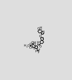 CC(C)(C)N(Cc1cc(NC(=O)C2CCc3ccc(Oc4ccnc5c4CCC(=O)N5)cc3C2)cc(C(F)(F)F)c1)C(=O)O